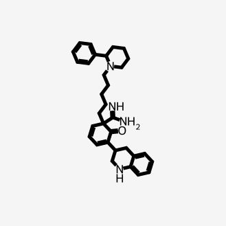 N=C(N)C1(CCCCCN2CCCCC2c2ccccc2)C=CC=C(C2CNc3ccccc3C2)C1=O